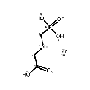 O=C(O)CNCP(=O)(O)O.[Zn]